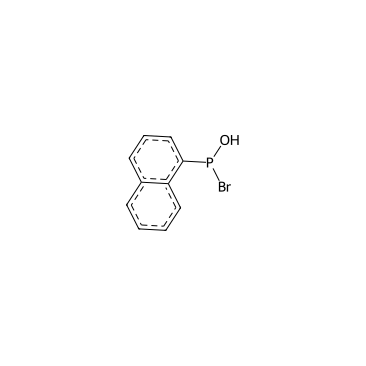 OP(Br)c1cccc2ccccc12